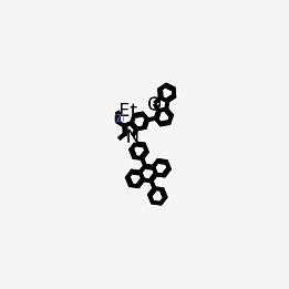 CC/C=C\c1c(C)n(-c2ccc(-c3c4ccccc4c(C4=CCCC=C4)c4ccccc34)cc2)c2cc(-c3cccc4c3oc3ccccc34)ccc12